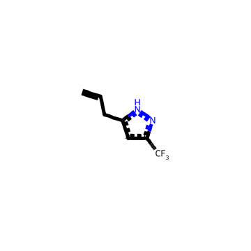 C=CCc1[c]c(C(F)(F)F)n[nH]1